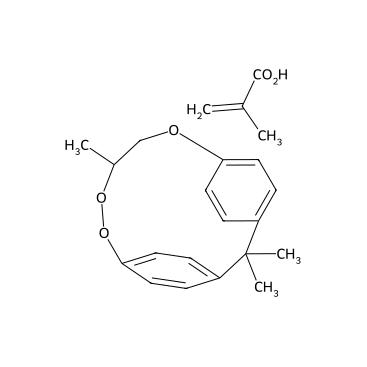 C=C(C)C(=O)O.CC1COc2ccc(cc2)C(C)(C)c2ccc(cc2)OO1